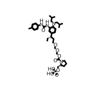 CC[C@@H](CCOCOCOC(=O)N1CCC[C@H]1COP(=O)(O)O)c1ccc(N(CC(C)C)CC(C)C)c(NC(=O)Nc2ccc(C)cc2)c1